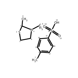 CC1SCCN1C.Cc1ccc(S(=O)(=O)O)cc1